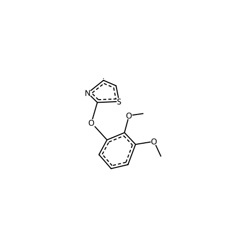 COc1cccc(Oc2n[c]cs2)c1OC